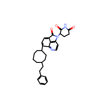 O=C1CCC(N2C(=O)c3ccc(C4CCCCC(CCc5ccccc5)CC4)c4nccc2c34)C(=O)N1